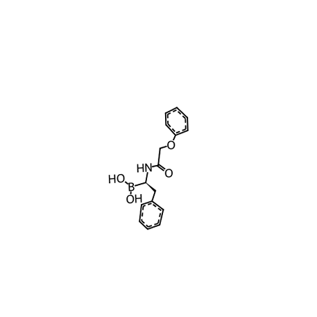 O=C(COc1ccccc1)N[C@@H](Cc1ccccc1)B(O)O